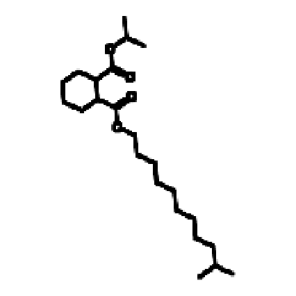 CC(C)CCCCCCCCCOC(=O)C1CCCCC1C(=O)OC(C)C